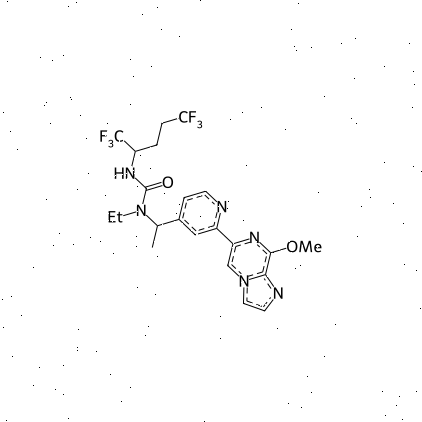 CCN(C(=O)NC(CCC(F)(F)F)C(F)(F)F)C(C)c1ccnc(-c2cn3ccnc3c(OC)n2)c1